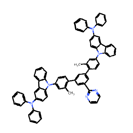 Cc1cc(-n2c3ccccc3c3cc(N(c4ccccc4)c4ccccc4)ccc32)ccc1-c1cc(-c2ncccn2)cc(-c2ccc(-n3c4ccccc4c4cc(N(c5ccccc5)c5ccccc5)ccc43)cc2C)c1